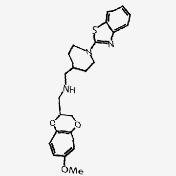 COc1ccc2c(c1)OCC(CNCC1CCN(c3nc4ccccc4s3)CC1)O2